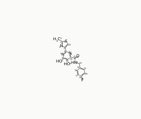 Cc1nc(-c2nc(O)c(O)c(C(=O)NCc3ccc(F)cc3)n2)cs1